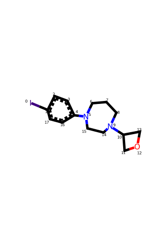 Ic1ccc(N2CCCN(C3COC3)CC2)cc1